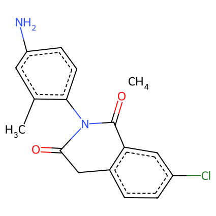 C.Cc1cc(N)ccc1N1C(=O)Cc2ccc(Cl)cc2C1=O